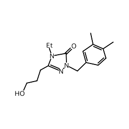 CCn1c(CCCO)nn(Cc2ccc(C)c(C)c2)c1=O